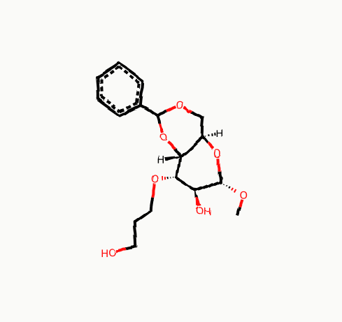 CO[C@H]1O[C@@H]2COC(c3ccccc3)O[C@H]2[C@@H](OCCCO)[C@@H]1O